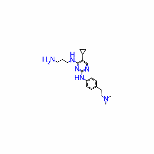 CN(C)CCc1ccc(Nc2ncc(C3CC3)c(NCCCN)n2)cc1